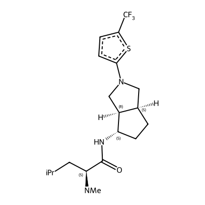 CN[C@@H](CC(C)C)C(=O)N[C@H]1CC[C@@H]2CN(c3ccc(C(F)(F)F)s3)C[C@@H]21